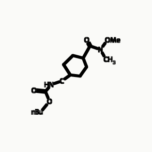 CCCCOC(=O)NCC1CCC(C(=O)N(C)OC)CC1